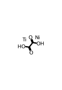 O=C(O)C(=O)O.[Ni].[Ti]